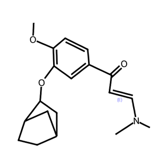 COc1ccc(C(=O)/C=C/N(C)C)cc1OC1CC2CCC1C2